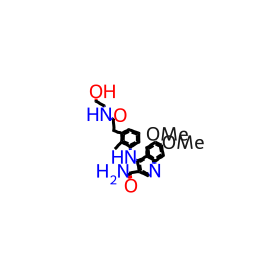 COc1cc2ncc(C(N)=O)c(Nc3cccc(CC(=O)NCCO)c3C)c2cc1OC